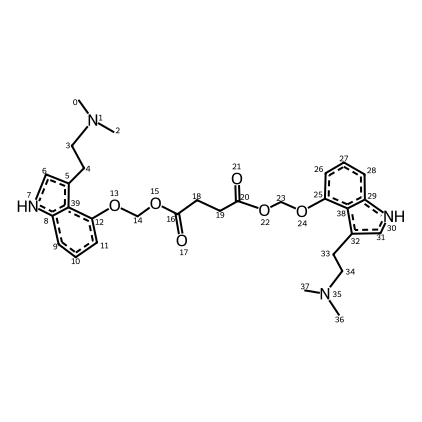 CN(C)CCc1c[nH]c2cccc(OCOC(=O)CCC(=O)OCOc3cccc4[nH]cc(CCN(C)C)c34)c12